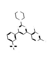 CS(=O)(=O)c1cccc(-c2cc(-c3cnc(N)nc3N)nc(N3CCOCC3)n2)c1